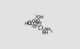 CC(O)CC(=O)C(NC(=O)c1ccc(C(=N)N)cc1)(Oc1ccccc1)C(=O)O